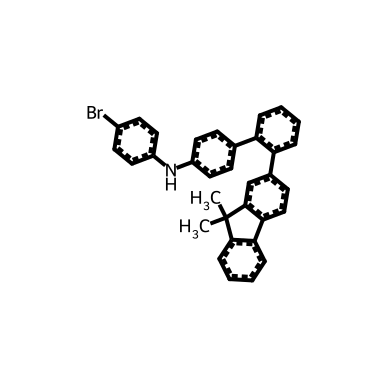 CC1(C)c2ccccc2-c2ccc(-c3ccccc3-c3ccc(Nc4ccc(Br)cc4)cc3)cc21